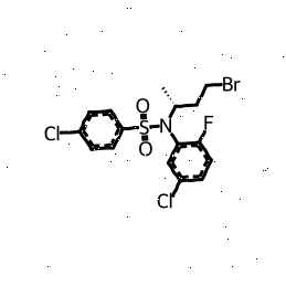 C[C@H](CCBr)N(c1cc(Cl)ccc1F)S(=O)(=O)c1ccc(Cl)cc1